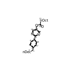 CCCCCCCCCCCc1ccc(-c2ncc(OC(=O)CCCCCCCC)cn2)cc1